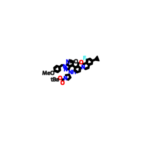 COc1ccc(Cn2nc(N[C@@H]3CCN(C(=O)OC(C)(C)C)C3)c3c(-c4cccc(-n5ccc6cc(C7CC7)cc(F)c6c5=O)c4COC(C)=O)ccnc32)cc1